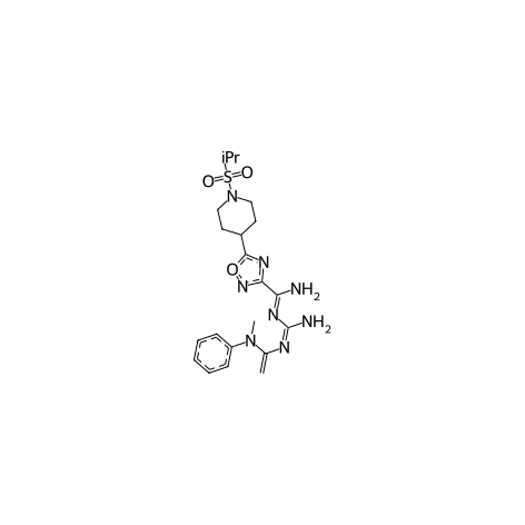 C=C(/N=C(N)\N=C(/N)c1noc(C2CCN(S(=O)(=O)C(C)C)CC2)n1)N(C)c1ccccc1